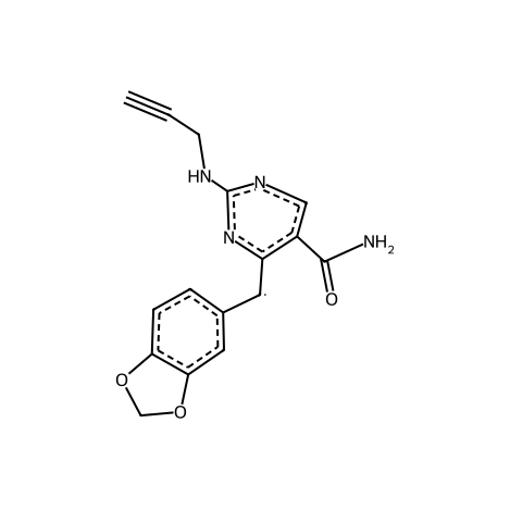 C#CCNc1ncc(C(N)=O)c([CH]c2ccc3c(c2)OCO3)n1